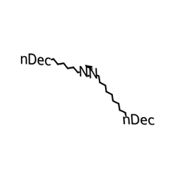 CCCCCCCCCCCCCCCCCCCn1cc[n+](CCCCCCCCCCCCCCCC)c1